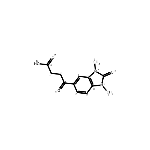 Cn1c(=O)n(C)c2cc(C(=O)CCC(=O)O)ccc21